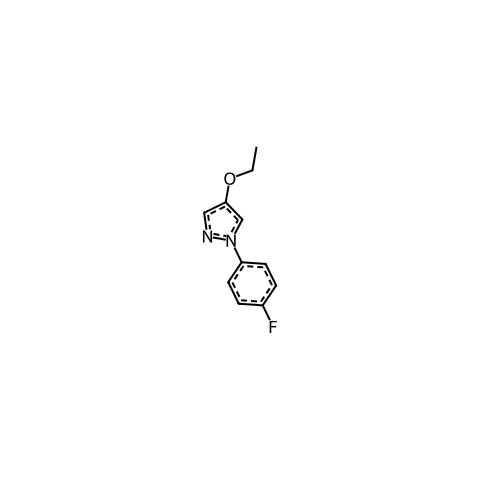 CCOc1cnn(-c2ccc(F)cc2)c1